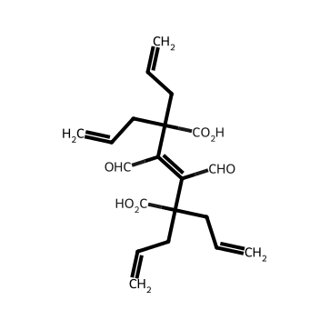 C=CCC(CC=C)(C(=O)O)C(C=O)=C(C=O)C(CC=C)(CC=C)C(=O)O